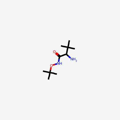 CC(C)(C)ONC(=O)C(N)C(C)(C)C